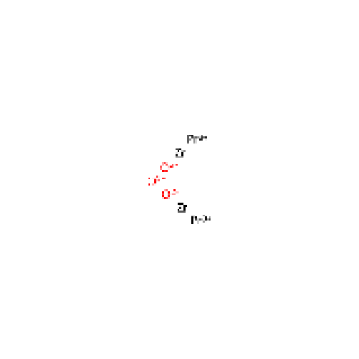 [O-2].[O-2].[O-2].[Pr+3].[Pr+3].[Zr].[Zr]